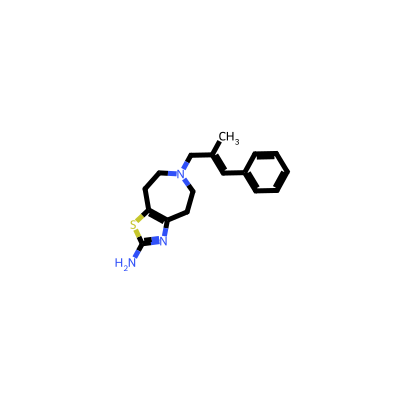 CC(=Cc1ccccc1)CN1CCc2nc(N)sc2CC1